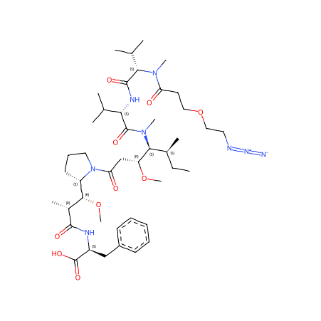 CC[C@H](C)[C@@H]([C@@H](CC(=O)N1CCC[C@H]1[C@H](OC)[C@@H](C)C(=O)N[C@@H](Cc1ccccc1)C(=O)O)OC)N(C)C(=O)[C@@H](NC(=O)[C@H](C(C)C)N(C)C(=O)CCOCCN=[N+]=[N-])C(C)C